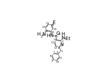 CCNc1nc(Cc2ccccc2)ccc1C(=O)Nc1cc(F)ccc1N